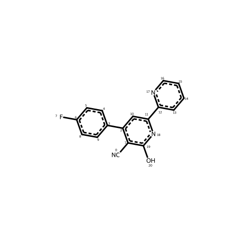 N#Cc1c(-c2ccc(F)cc2)cc(-c2ccccn2)nc1O